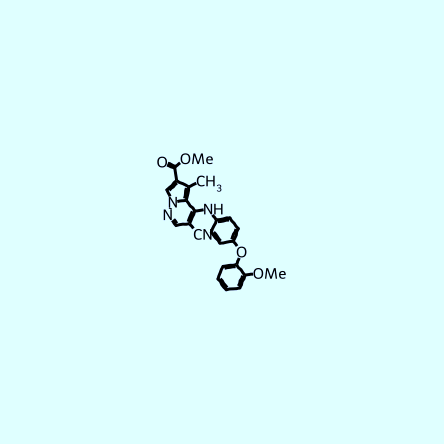 COC(=O)c1cn2ncc(C#N)c(Nc3ccc(Oc4ccccc4OC)cc3)c2c1C